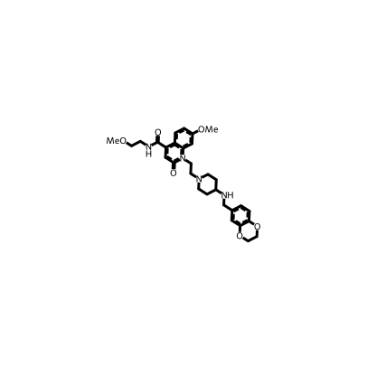 COCCNC(=O)c1cc(=O)n(CCN2CCC(NCc3ccc4c(c3)OCCO4)CC2)c2cc(OC)ccc12